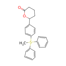 CS(c1ccccc1)(c1ccccc1)c1ccc(C2CCCC(=O)O2)cc1